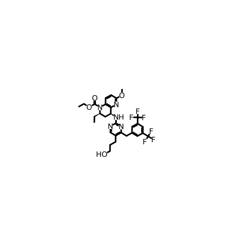 CCOC(=O)N1c2ccc(OC)nc2[C@@H](Nc2ncc(CCCO)c(Cc3cc(C(F)(F)F)cc(C(F)(F)F)c3)n2)C[C@H]1CC